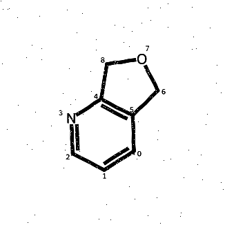 [c]1ccnc2c1COC2